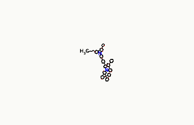 CCCCCc1ccc2c(c1)c1cc(C3CCCC3)ccc1n2-c1ccc(-c2ccc(-c3ccc(N(c4ccc5c(c4)C(c4ccccc4)(c4ccccc4)c4ccccc4-5)c4ccccc4-c4cccc(-c5ccccc5)c4)cc3)cc2)cc1